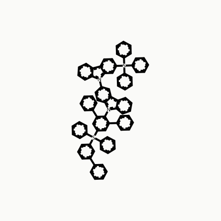 c1ccc(-c2cccc(S(c3ccccc3)(c3ccccc3)c3cc(-c4ccccc4)c(-n4c5ccccc5c5cc(-n6c7ccccc7c7ccc(S(c8ccccc8)(c8ccccc8)c8ccccc8)cc76)ccc54)c(-c4ccccc4)c3)c2)cc1